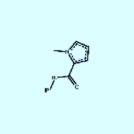 CC(C)NC(=O)c1cccn1C